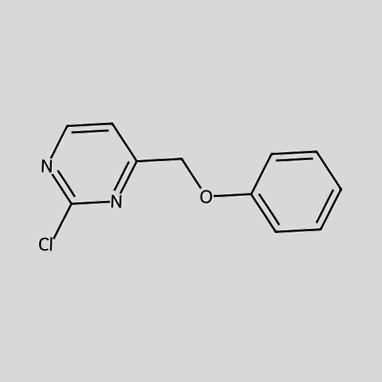 Clc1nccc(COc2ccccc2)n1